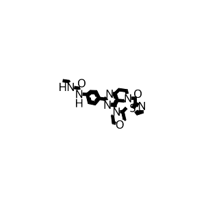 CCNC(=O)Nc1ccc(-c2nc3c(c(N4CCOCC4C)n2)CN(C(=O)c2nccs2)CC3)cc1